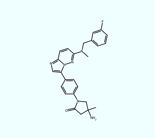 CN(Cc1cccc(F)c1)c1ccc2ncc(-c3ccc(N4CC(C)(N)CC4=O)cc3)n2n1